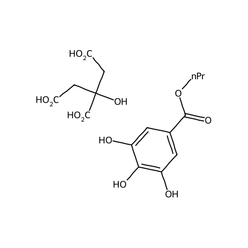 CCCOC(=O)c1cc(O)c(O)c(O)c1.O=C(O)CC(O)(CC(=O)O)C(=O)O